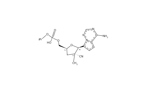 CC(C)OP(=O)(O)OC[C@@H]1C[C@@](C)(C#N)[C@H](c2ccc3c(N)ncnn23)O1